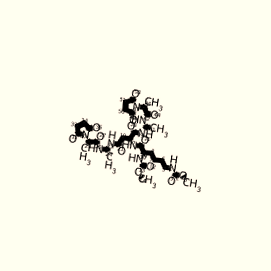 COC(=O)NCCCCC(NC(=O)OC)C(=O)NC(CC(=O)NC(C)NC(=O)C(C)N1C(=O)C=CC1=O)C(=O)NC(C)NC(=O)C(C)N1C(=O)C=CC1=O